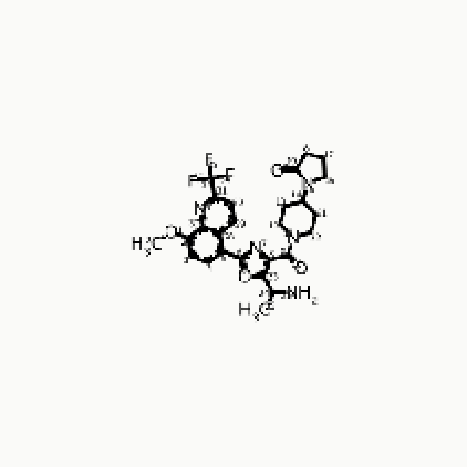 COc1ccc(-c2nc(C(=O)N3CCC(N4CCCC4=O)CC3)c(C(C)N)o2)c2ccc(C(F)(F)F)nc12